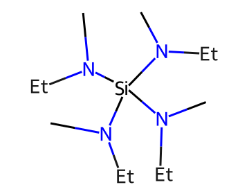 CCN(C)[Si](N(C)CC)(N(C)CC)N(C)CC